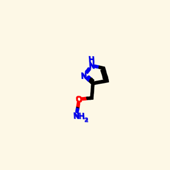 NOCc1cc[nH]n1